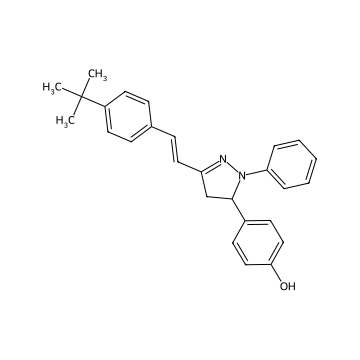 CC(C)(C)c1ccc(C=CC2=NN(c3ccccc3)C(c3ccc(O)cc3)C2)cc1